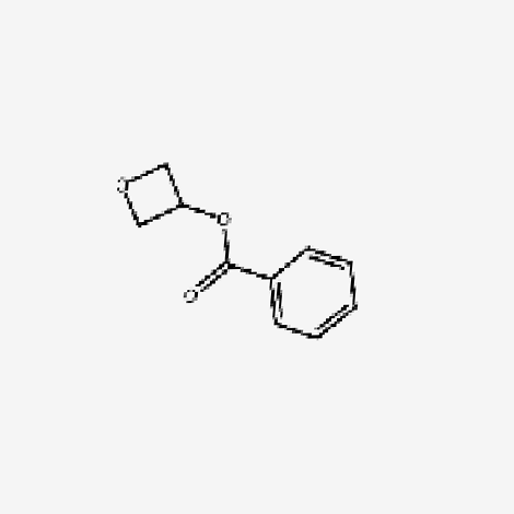 O=C(OC1COC1)c1ccccc1